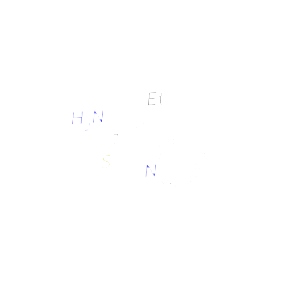 CCC(C(N)=S)c1ccccn1